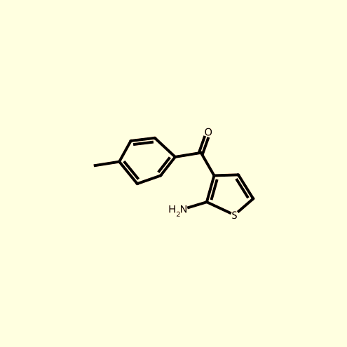 Cc1ccc(C(=O)c2ccsc2N)cc1